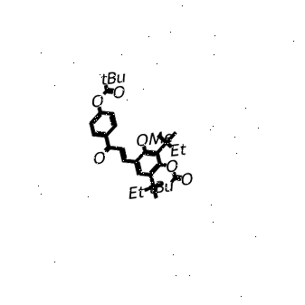 CCC(C)(C)c1cc(C=CC(=O)c2ccc(OC(=O)C(C)(C)C)cc2)c(OC)c(C(C)(C)CC)c1OC(=O)C(C)(C)C